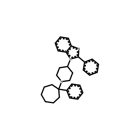 c1ccc(-c2nc3ccccc3n2C2CCN(C3(c4ccccc4)CCCCCC3)CC2)cc1